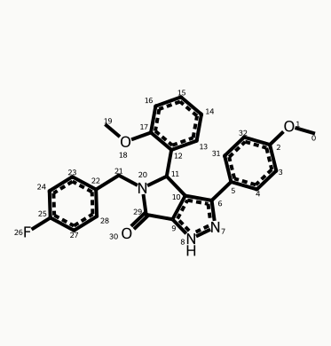 COc1ccc(-c2n[nH]c3c2C(c2ccccc2OC)N(Cc2ccc(F)cc2)C3=O)cc1